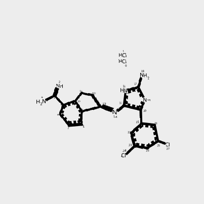 Cl.Cl.N=C(N)c1cccc2c1CCC2=Nc1[nH]c(N)nc1-c1cc(Cl)cc(Cl)c1